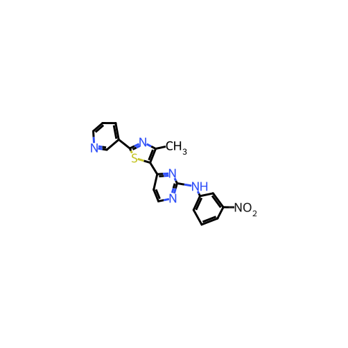 Cc1nc(-c2cccnc2)sc1-c1ccnc(Nc2cccc([N+](=O)[O-])c2)n1